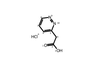 Cl.O=C(O)Cc1cccnn1